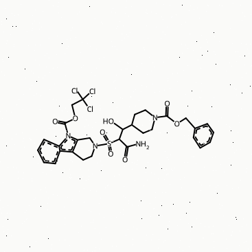 NC(=O)C(C(O)C1CCN(C(=O)OCc2ccccc2)CC1)S(=O)(=O)N1CCc2c(n(C(=O)OCC(Cl)(Cl)Cl)c3ccccc23)C1